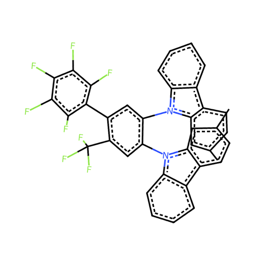 Cc1ccc2c3ccccc3n(-c3cc(-c4c(F)c(F)c(F)c(F)c4F)c(C(F)(F)F)cc3-n3c4ccccc4c4ccc(C)cc43)c2c1